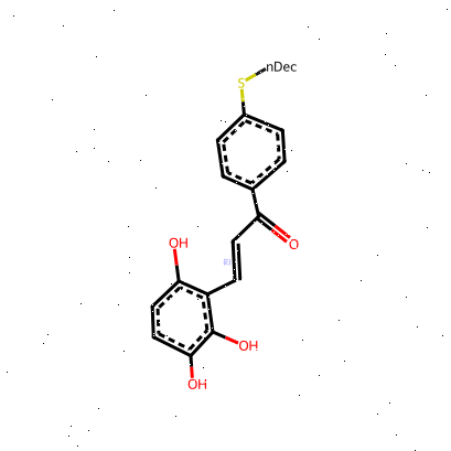 CCCCCCCCCCSc1ccc(C(=O)/C=C/c2c(O)ccc(O)c2O)cc1